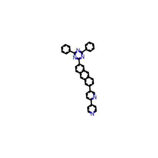 c1ccc(-c2nc(-c3ccccc3)nc(-c3ccc4cc5cc(-c6ccc(-c7ccncc7)nc6)ccc5cc4c3)n2)cc1